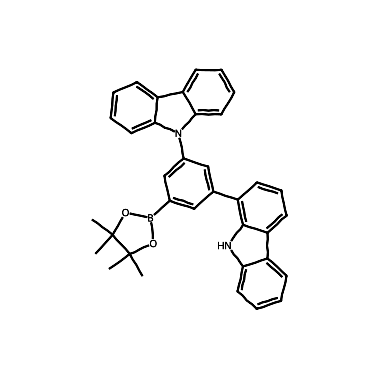 CC1(C)OB(c2cc(-c3cccc4c3[nH]c3ccccc34)cc(-n3c4ccccc4c4ccccc43)c2)OC1(C)C